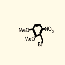 COc1ccc([N+](=O)[O-])c(CBr)c1OC